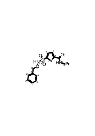 CC(C)NC(=O)c1ccc(S(=O)(=O)NOCc2ccccc2)s1